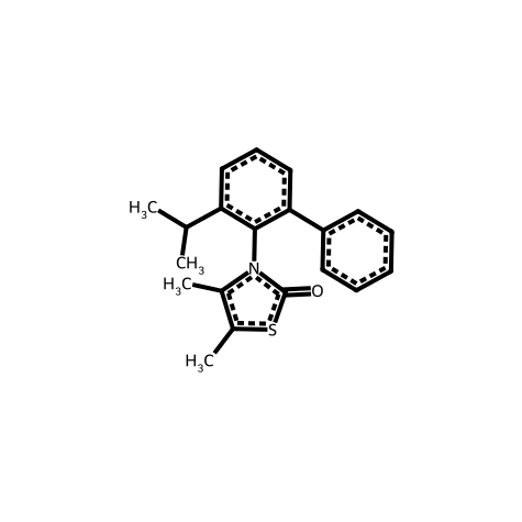 Cc1sc(=O)n(-c2c(-c3ccccc3)cccc2C(C)C)c1C